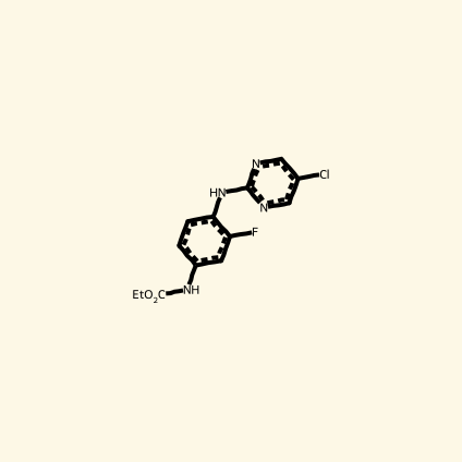 CCOC(=O)Nc1ccc(Nc2ncc(Cl)cn2)c(F)c1